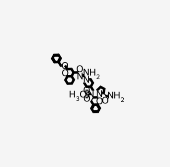 CS(=O)(=O)N(CC1CCN(C(N)=NC(=O)C(CC(=O)OCc2ccccc2)C2CCCCC2)CC1)[C@H](Cc1ccccc1)C(=O)N1CCC[C@H]1C(N)=O